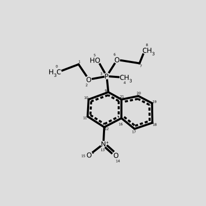 CCOP(C)(O)(OCC)c1ccc([N+](=O)[O-])c2ccccc12